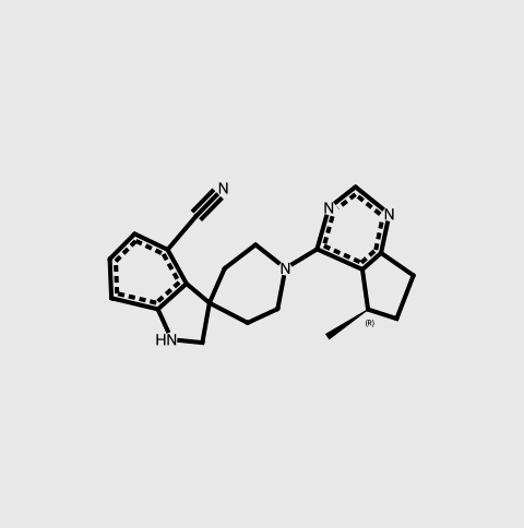 C[C@@H]1CCc2ncnc(N3CCC4(CC3)CNc3cccc(C#N)c34)c21